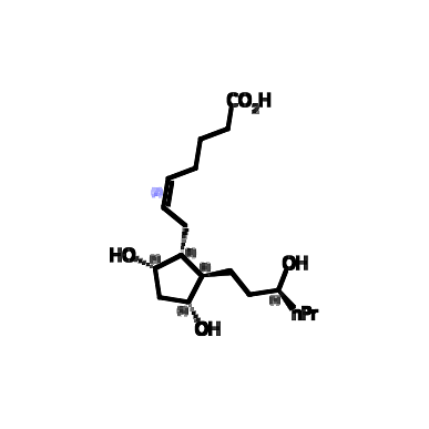 CCC[C@H](O)CC[C@@H]1[C@@H](C/C=C\CCCC(=O)O)[C@@H](O)C[C@H]1O